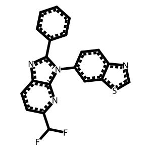 FC(F)c1ccc2nc(-c3ccccc3)n(-c3ccc4ncsc4c3)c2n1